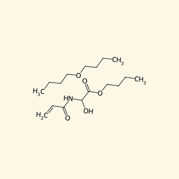 C=CC(=O)NC(O)C(=O)OCCCC.CCCCOCCCC